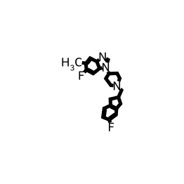 CC1=CC2N=CN(C3CCN(CC4Cc5ccc(F)cc5C4)CC3)C2C=C1F